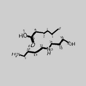 CCCCCC(=O)O.NCCCCNCCCO